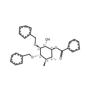 C[C@@H]1[C@@H](C)[C@H](OCc2ccccc2)[C@@H](OCc2ccccc2)[C@H](O)[C@H]1OC(=O)c1ccccc1